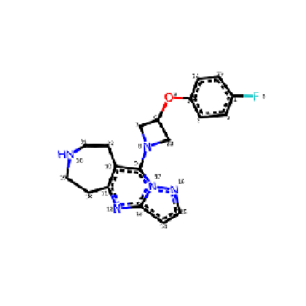 Fc1ccc(OC2CN(c3c4c(nc5ccnn35)CCNCC4)C2)cc1